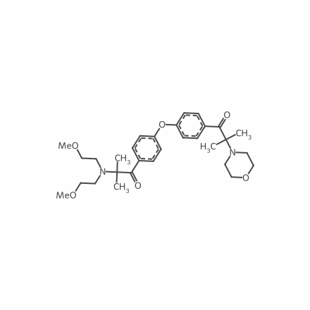 COCCN(CCOC)C(C)(C)C(=O)c1ccc(Oc2ccc(C(=O)C(C)(C)N3CCOCC3)cc2)cc1